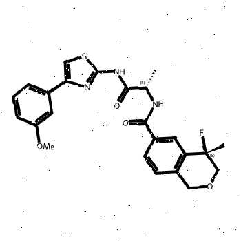 COc1cccc(-c2csc(NC(=O)[C@H](C)NC(=O)c3ccc4c(c3)[C@](C)(F)COC4)n2)c1